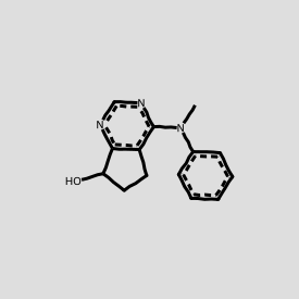 CN(c1ccccc1)c1ncnc2c1CCC2O